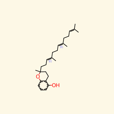 CC(C)=CCC/C(C)=C/CC/C(C)=C/CCC1(C)CCc2c(O)cccc2O1